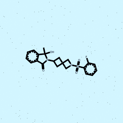 CC1(O)c2ccccc2C(=O)N1C1CC2(C1)CN(S(=O)(=O)c1ccccc1F)C2